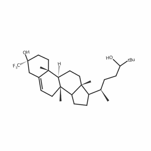 C[C@H](CCC(O)C(C)(C)C)C1CCC2[C@]1(C)CC[C@@H]1[C@@]3(C)CC[C@@](O)(C(F)(F)F)CC3=CC[C@@]21C